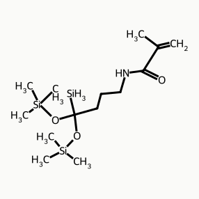 C=C(C)C(=O)NCCCC([SiH3])(O[Si](C)(C)C)O[Si](C)(C)C